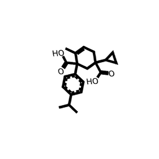 CC1=CCC(C(=O)O)(C2CC2)CC1(C(=O)O)c1ccc(C(C)C)cc1